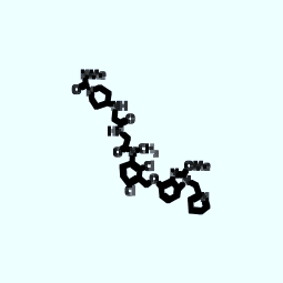 CNC(=O)N1CCC(NCC(=O)NCC(=O)N(C)c2ccc(Cl)c(COc3cccc4c3nc(OC)n4Cc3ccccn3)c2Cl)CC1